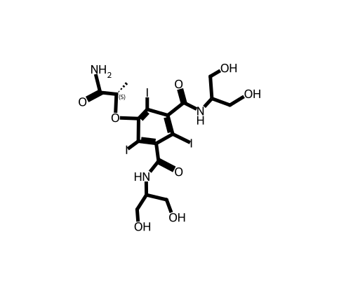 C[C@H](Oc1c(I)c(C(=O)NC(CO)CO)c(I)c(C(=O)NC(CO)CO)c1I)C(N)=O